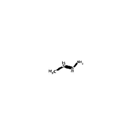 C[SH]=[SH]N